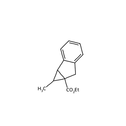 CCOC(=O)C12Cc3ccccc3C1C2C